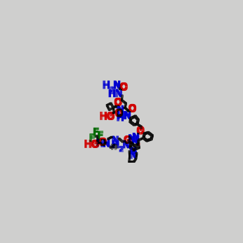 C[C@@H]1CNCCN1CCOc1cc(N2C3CCC2CN(c2cc(-c4ccccc4OCc4ccc(NC(=O)C(CCCNC(N)=O)NC(=O)C5(C(=O)O)CCC5)cc4)nnc2N)C3)ccn1.O=C(O)C(F)(F)F